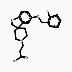 O=C(O)CCN1CCC2(CC1)COc1ccc(OCc3ccccc3Cl)cc12